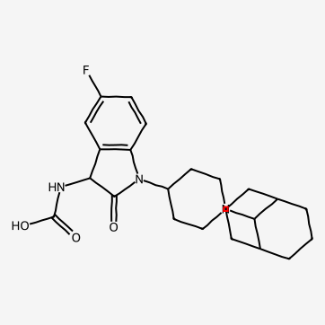 O=C(O)NC1C(=O)N(C2CCN(C3C4CCCC3CCC4)CC2)c2ccc(F)cc21